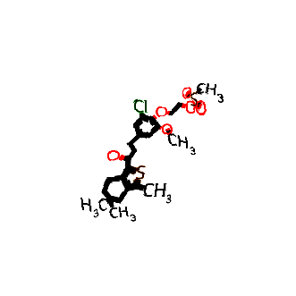 COc1cc(CCC(=O)c2sc(C)c3c2CCC(C)(C)C3)cc(Cl)c1OCCOS(C)(=O)=O